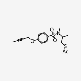 CC#CCOc1ccc(S(=O)(=O)N(C)C(C)CSC(C)=O)cc1